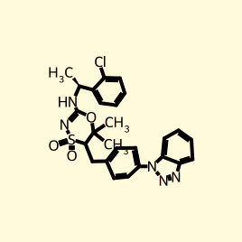 C[C@H](NC1=NS(=O)(=O)C(Cc2ccc(-n3nnc4ccccc43)cc2)C(C)(C)O1)c1ccccc1Cl